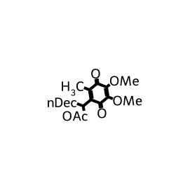 CCCCCCCCCCC(OC(C)=O)C1=C(C)C(=O)C(OC)=C(OC)C1=O